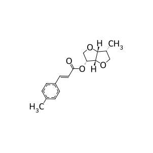 Cc1ccc(/C=C/C(=O)O[C@@H]2CO[C@H]3[C@@H]2OC[C@H]3C)cc1